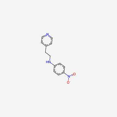 O=[N+]([O-])c1ccc(NCCc2ccncc2)cc1